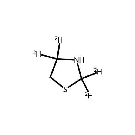 [2H]C1([2H])CSC([2H])([2H])N1